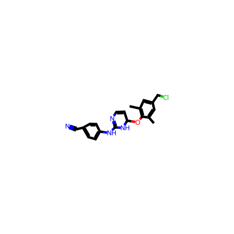 Cc1cc(CCl)cc(C)c1OC1C=CN=C(Nc2ccc(C#N)cc2)N1